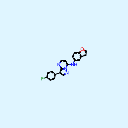 Fc1ccc(-c2cnn3c(Nc4ccc5occc5c4)ccnc23)cc1